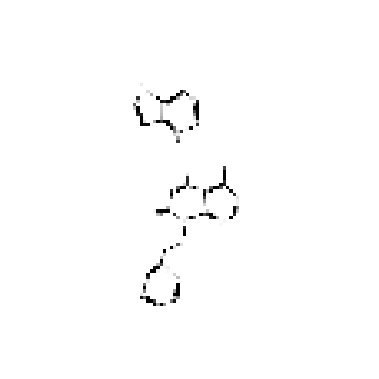 Cc1ncnc2c1c(NCc1cccc3[nH]ccc13)cc(=O)n2OCc1ccccc1